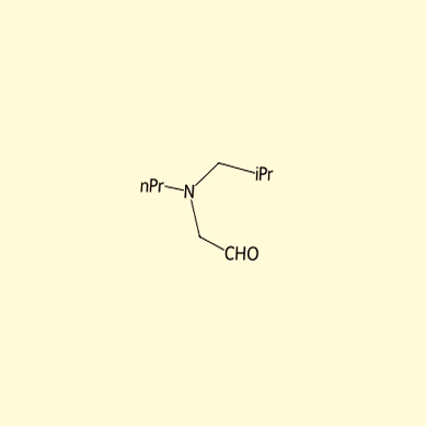 CCCN(CC=O)CC(C)C